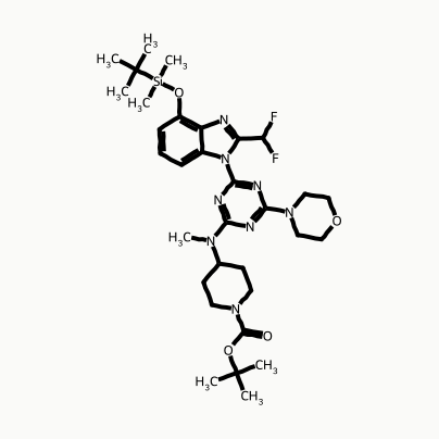 CN(c1nc(N2CCOCC2)nc(-n2c(C(F)F)nc3c(O[Si](C)(C)C(C)(C)C)cccc32)n1)C1CCN(C(=O)OC(C)(C)C)CC1